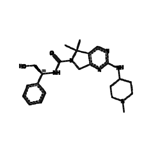 CN1CCC(Nc2ncc3c(n2)CN(C(=O)N[C@H](CO)c2ccccc2)C3(C)C)CC1